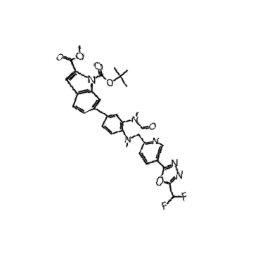 COC(=O)c1cc2ccc(-c3ccc(N(C)Cc4ccc(-c5nnc(C(F)F)o5)cn4)c(N(C)C=O)c3)cc2n1C(=O)OC(C)(C)C